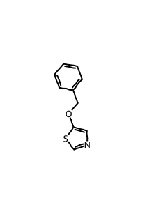 c1ccc(COc2cncs2)cc1